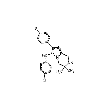 CC1(C)Cn2c(nc(-c3ccc(F)cc3)c2Nc2ccc(Cl)cc2)CN1